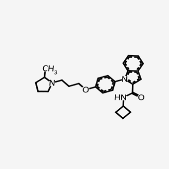 CC1CCCN1CCCOc1ccc(-n2c(C(=O)NC3CCC3)cc3ccccc32)cc1